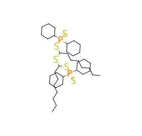 CCCCCCCC(SC(CCCCCCC)SP(=S)(C1CCCCC1)C1CCCCC1)SP(=S)(C1CCCCC1)C1CCCCC1